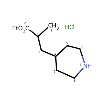 CCOC(=O)C(C)CC1CCNCC1.Cl